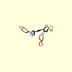 O=C1CCN(c2cc(Cl)ncc2C#Cc2cnn(C3CCOCC3)c2)CC1